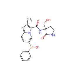 Cc1cc2ccc([S+]([O-])c3ccccc3)cn2c1C(=O)NC1(CO)CCNC1=O